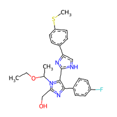 CCOC(C)n1c(CO)nc(-c2ccc(F)cc2)c1-c1nc(-c2ccc(SC)cc2)c[nH]1